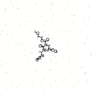 COCCOC(=O)N(CN=C=O)C(=O)NCN=C=O